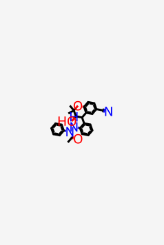 CC(=O)N(Nc1ccccc1C1c2cc(C#N)ccc2OC(C)(C)C1O)c1ccccc1